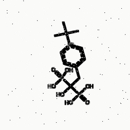 CC(C)(C)[n+]1ccc(CC(O)(P(=O)(O)O)P(=O)(O)O)cc1